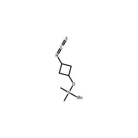 CC(C)(C)[Si](C)(C)OC1CC(N=C=S)C1